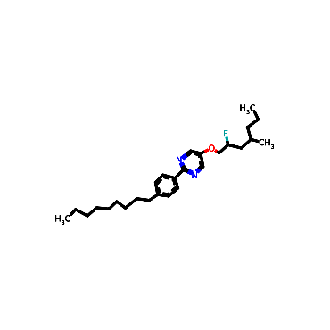 CCCCCCCCCc1ccc(-c2ncc(OCC(F)CC(C)CCC)cn2)cc1